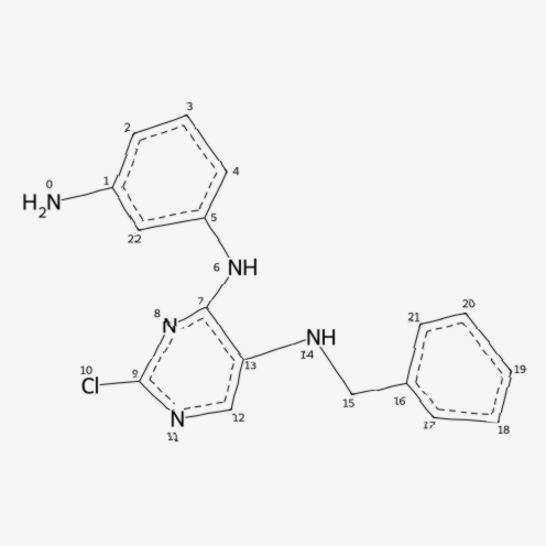 Nc1cccc(Nc2nc(Cl)ncc2NCc2ccccc2)c1